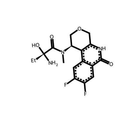 CC[C@@](N)(O)C(=O)N(C)[C@H]1COCc2[nH]c(=O)c3cc(F)c(F)cc3c21